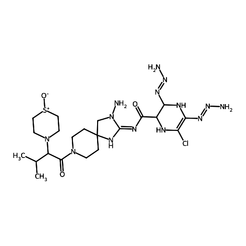 CC(C)C(C(=O)N1CCC2(CC1)CN(N)/C(=N\C(=O)C1NC(Cl)=C(N=NN)NC1N=NN)N2)N1CC[S+]([O-])CC1